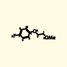 COCCOc1[c]cc(F)cc1